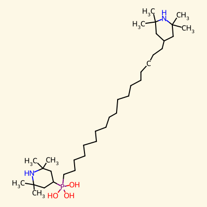 CC1(C)CC(CCCCCCCCCCCCCCCCCCP(O)(O)(O)C2CC(C)(C)NC(C)(C)C2)CC(C)(C)N1